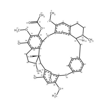 COc1cc2c3cc1Oc1c(OC(C)=O)c(OC)c(Cl)c4c1[C@H](Cc1c(Cl)cc(OC)c(c1Cl)Oc1ccc(cc1)C[C@@H]3N(C)CC2)N(C)CC4